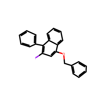 Ic1cc(OCc2ccccc2)c2ccccc2c1-c1ccccc1